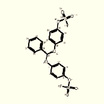 O=S(=O)(F)Oc1ccc(OC(Oc2ccc(OS(=O)(=O)F)cc2)c2ccccc2)cc1